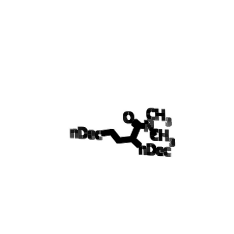 CCCCCCCCCCCCC(CCCCCCCCCC)C(=O)N(C)C